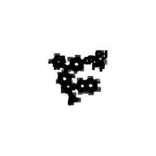 Clc1ccc(C(c2ccc3nc(C4CC4)n(C4Cc5ccccc5C4)c3c2)c2nccs2)cc1.O=C(O)C(F)(F)F